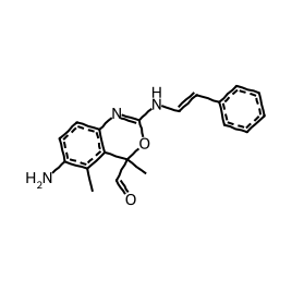 Cc1c(N)ccc2c1C(C)(C=O)OC(NC=Cc1ccccc1)=N2